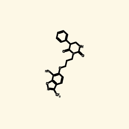 CCCc1c(OCCCN2C(=O)NCC(c3ccccc3)C2=O)ccc2c(C(F)(F)F)noc12